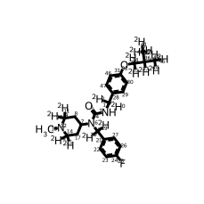 [2H]C([2H])(NC(=O)N(C1CC([2H])([2H])N(C)C([2H])([2H])C1)C([2H])([2H])c1ccc(F)cc1)c1ccc(OC([2H])([2H])C([2H])(C([2H])([2H])[2H])C([2H])([2H])[2H])cc1